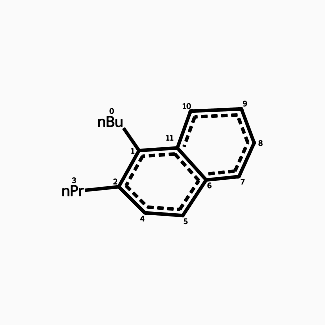 [CH2]CCCc1c(CCC)ccc2ccccc12